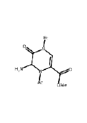 CCN1C=C(C(=O)OC)N(C(C)=O)C(N)C1=O